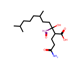 CC(C)CCCC(C)CCC(O)([PH2]=O)C(CCC(N)=O)C(=O)O